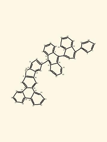 c1ccc(-c2ccc(-c3c4ccccc4c(-c4ccc5oc6cc7c8ccccc8c8ccccc8c7cc6c5c4)c4ccccc34)c3ccccc23)cc1